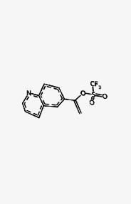 C=C(OS(=O)(=O)C(F)(F)F)c1ccc2ncccc2c1